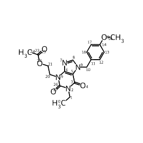 CCn1c(=O)c2c(ncn2Cc2ccc(OC)cc2)n(CCOC(C)=O)c1=O